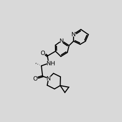 C[C@H](NC(=O)c1ccc(-c2ccccn2)nc1)C(=O)N1CCC2(CC1)CC2